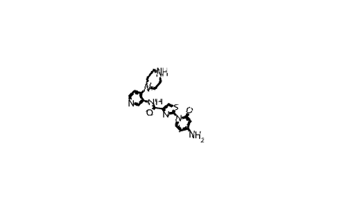 Nc1ccn(-c2nc(C(=O)Nc3cnccc3N3CCNCC3)cs2)c(=O)c1